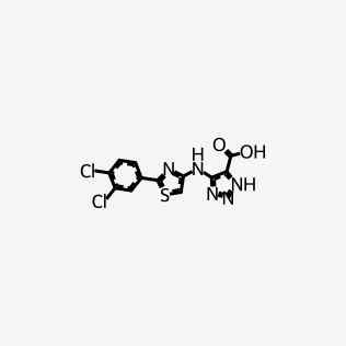 O=C(O)c1[nH]nnc1Nc1csc(-c2ccc(Cl)c(Cl)c2)n1